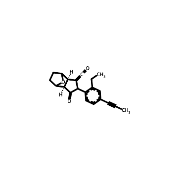 CC#Cc1ccc(C2C(=O)[C@H]3C4CCC(O4)[C@H]3C2=C=O)c(CC)c1